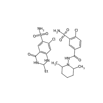 CC1CCCC(C)N1NC(=O)c1ccc(Cl)c(S(N)(=O)=O)c1.CCC1NC(=O)c2cc(S(N)(=O)=O)c(Cl)cc2N1